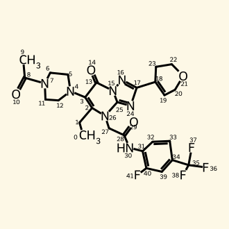 CCc1c(N2CCN(C(C)=O)CC2)c(=O)n2nc(C3=CCOCC3)nc2n1CC(=O)Nc1ccc(C(F)(F)F)cc1F